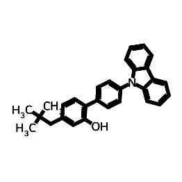 CC(C)(C)Cc1ccc(-c2ccc(-n3c4ccccc4c4ccccc43)cc2)c(O)c1